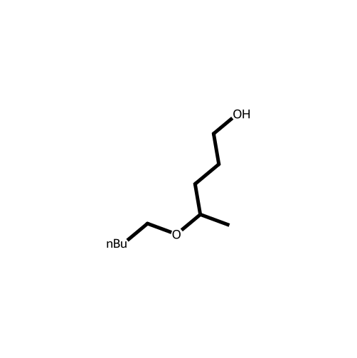 CCCCCOC(C)CCCO